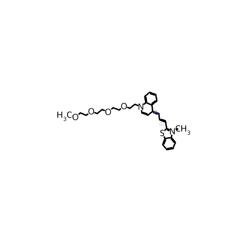 COCCOCCOCCOCCN1C=C/C(=C\C=C\c2sc3ccccc3[n+]2C)c2ccccc21